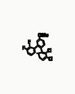 COc1ccc(C2=C(Cl)C(Cl)=CC[CH]2)c(-c2cccc(F)c2F)c1